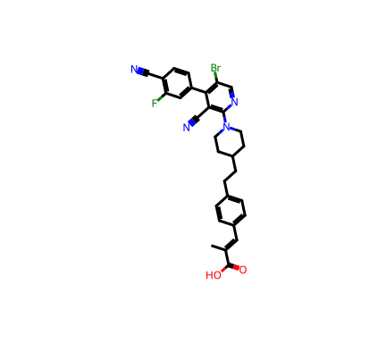 C/C(=C\c1ccc(CCC2CCN(c3ncc(Br)c(-c4ccc(C#N)c(F)c4)c3C#N)CC2)cc1)C(=O)O